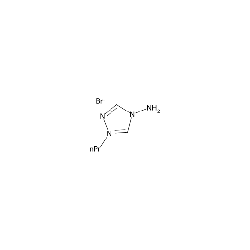 CCC[n+]1cn(N)cn1.[Br-]